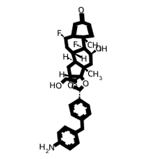 C[C@]12C=CC(=O)C=C1[C@@H](F)C[C@H]1[C@@H]3C[C@H]4O[C@@H](c5ccc(Cc6ccc(N)cc6)cc5)O[C@@]4(C(=O)CO)[C@@]3(C)C[C@H](O)[C@@]12F